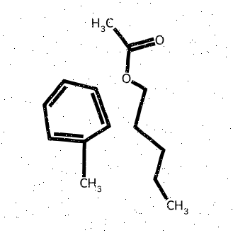 CCCCCOC(C)=O.Cc1ccccc1